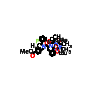 COC(=O)c1ccc(CN(C(=O)C2Cc3ccccc3CN2C(=O)C(NC(=O)C(C)N(C)C(=O)OC(C)(C)C)C(C)(C)SC)[C@H](C)c2ccccc2F)cc1